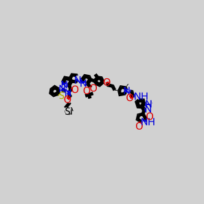 Cc1cc(OCCC[C@H]2CCN(CC(=O)Nc3ccc4c(C5CCC(=O)NC5=O)nn(C)c4c3)[C@@H](C)C2)ccc1-c1ccc(N2CCc3ccnc(C(=O)N(COCC[Si](C)(C)C)c4nc5ccccc5s4)c3C2)nc1C(=O)OC(C)(C)C